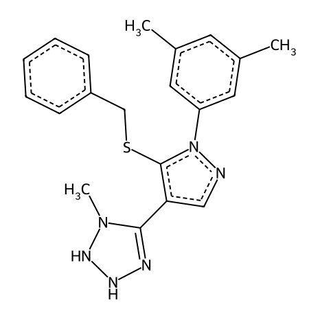 Cc1cc(C)cc(-n2ncc(C3=NNNN3C)c2SCc2ccccc2)c1